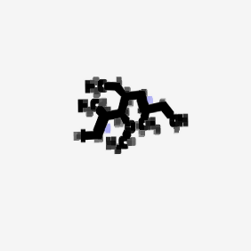 CC[C@@H](/C=C(\C)CO)[C@@H](OC)/C(C)=C/I